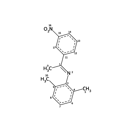 CC(=Nc1c(C)cccc1C)c1cccc([N+](=O)[O-])c1